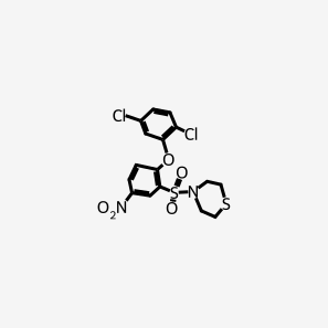 O=[N+]([O-])c1ccc(Oc2cc(Cl)ccc2Cl)c(S(=O)(=O)N2CCSCC2)c1